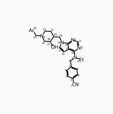 CCN(Cc1ccc(C#N)cc1)c1ncnc2c1ccn2CC1CCN(CC(C)=O)C[C@@H]1O